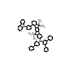 CC1(C)c2cc(N(c3ccc(-c4ccccc4)cc3)c3cc(-c4ccccc4)cc(-c4ccccc4)c3)ccc2-c2cc3c(cc21)-c1c(-c2cccc(-n4c5ccccc5c5ccccc54)c2)cccc1C3(C)C